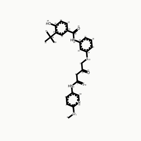 COc1ccc(NC(=S)CC(=O)CSc2cccc(NC(=O)c3ccc(O)c(C(C)(C)C)c3)c2)cn1